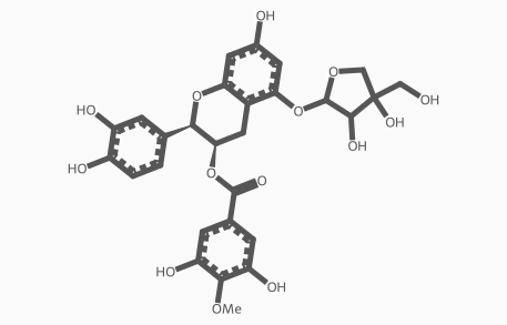 COc1c(O)cc(C(=O)O[C@@H]2Cc3c(OC4OCC(O)(CO)C4O)cc(O)cc3O[C@@H]2c2ccc(O)c(O)c2)cc1O